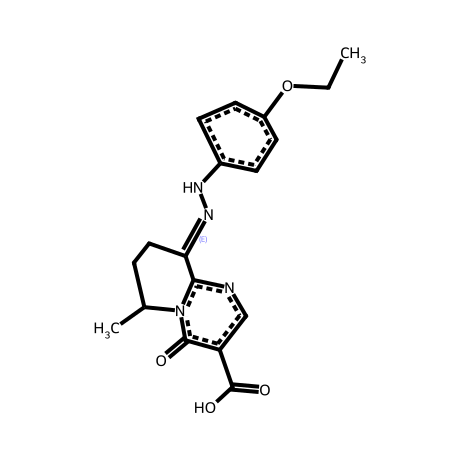 CCOc1ccc(N/N=C2\CCC(C)n3c2ncc(C(=O)O)c3=O)cc1